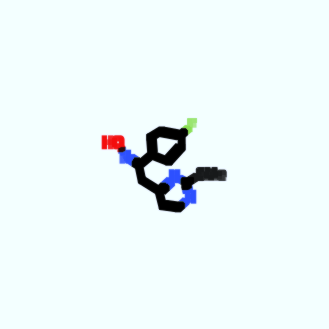 CSc1nccc(C/C(=N/O)c2ccc(F)cc2)n1